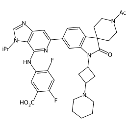 CC(=O)N1CCC2(CC1)C(=O)N(C1CC(N3CCCCC3)C1)c1cc(-c3cc4ncn(C(C)C)c4c(Nc4cc(C(=O)O)c(F)cc4F)n3)ccc12